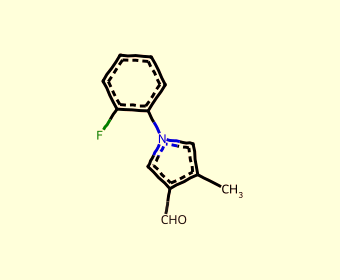 Cc1cn(-c2ccccc2F)cc1C=O